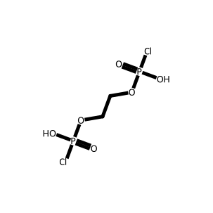 O=P(O)(Cl)OCCOP(=O)(O)Cl